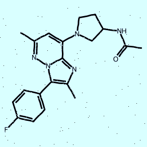 CC(=O)NC1CCN(c2cc(C)nn3c(-c4ccc(F)cc4)c(C)nc23)C1